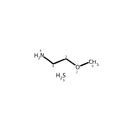 COCCN.S